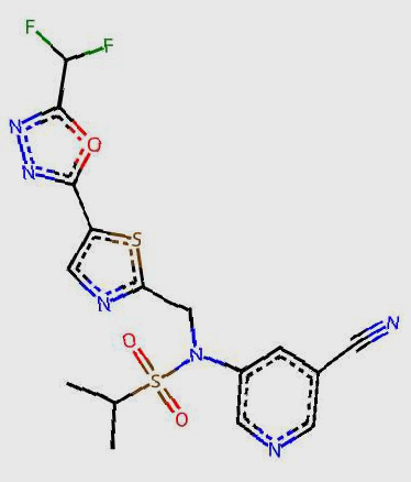 CC(C)S(=O)(=O)N(Cc1ncc(-c2nnc(C(F)F)o2)s1)c1cncc(C#N)c1